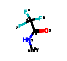 [CH2]CCNC(=O)C(F)(F)F